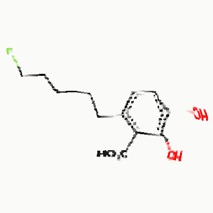 O=C(O)c1c(CCCCCF)ccc(O)c1O